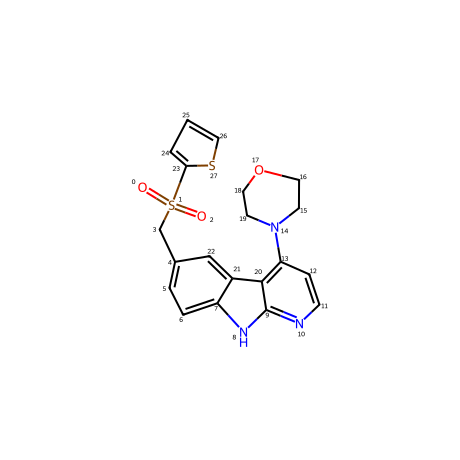 O=S(=O)(Cc1ccc2[nH]c3nccc(N4CCOCC4)c3c2c1)c1cccs1